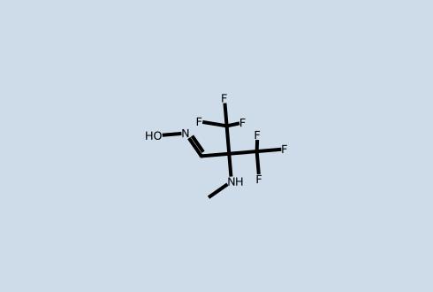 CNC(C=NO)(C(F)(F)F)C(F)(F)F